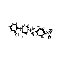 Cc1ccccc1N1CCN(S(=O)(=O)c2ccc([N+](=O)[O-])cc2)CC1